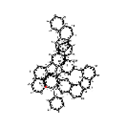 c1ccc(-c2cccc(-c3nc(-c4ccc5c(ccc6ccccc65)c4)nc(-c4cccc5oc6ccc7ccc(-n8c9cc%10ccccc%10cc9c9ccc%10ccccc%10c98)cc7c6c45)n3)c2)cc1